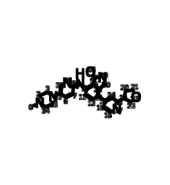 CN1CCN(c2ccc(Nc3ccc(-c4ccnc(C5CCOC5)c4)c4c3C(=O)N=C4)nc2)CC1